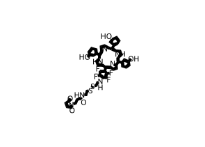 O=C(CCN1C(=O)C=CC1=O)NCCSSCCNc1c(F)c(F)c(-c2c3nc(c(-c4cccc(O)c4)c4ccc([nH]4)c(-c4cccc(O)c4)c4nc(c(-c5cccc(O)c5)c5ccc2[nH]5)C=C4)C=C3)c(F)c1F